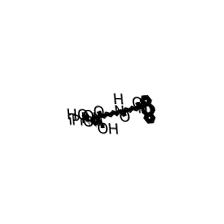 CC(C)P(=O)(O)O[C@@H]1C[C@@H](CO)N(C(=O)CCCCCNC(=O)CCCCC(=O)N2Cc3ccccc3C#Cc3ccccc32)C1